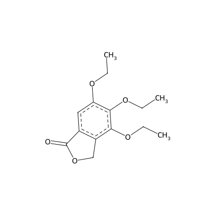 CCOc1cc2c(c(OCC)c1OCC)COC2=O